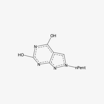 CCCCCn1cc2c(O)nc(O)nc2n1